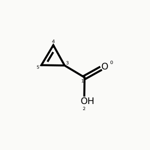 O=C(O)C1[C]=C1